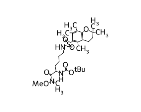 CON(C)C(=O)C(CCCCNS(=O)(=O)c1c(C)c(C)c2c(c1C)CCC(C)(C)O2)NC(=O)OC(C)(C)C